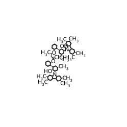 Cc1cc(-c2ccccc2OC(C)C[C@@H](C)Oc2ccccc2-c2cc(C)cc(-n3c4cc(C)c(C)cc4c4cc(C)c(C)cc43)c2O)c(O)c(-n2c3cc(C)c(C)cc3c3cc(C)c(C)cc32)c1